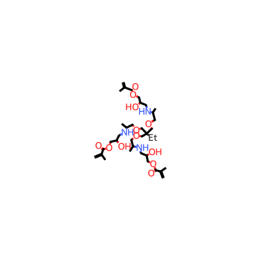 C=C(C)C(=O)OCC(O)CNC(C)COCC(CC)(COCC(C)NCC(O)COC(=O)C(=C)C)COCC(C)NCC(O)COC(=O)C(=C)C